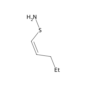 CCC/C=C\SN